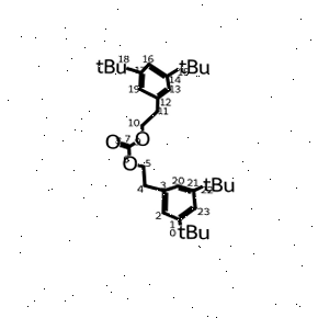 CC(C)(C)c1cc(CCOC(=O)OCCc2cc(C(C)(C)C)cc(C(C)(C)C)c2)cc(C(C)(C)C)c1